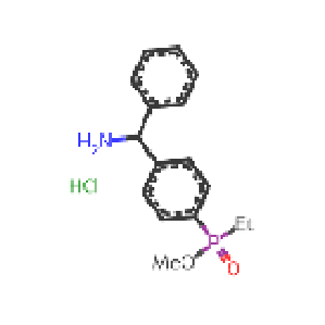 CCP(=O)(OC)c1ccc(C(N)c2ccccc2)cc1.Cl